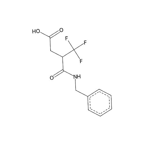 O=C(O)CC(C(=O)NCc1ccccc1)C(F)(F)F